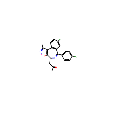 CC(=O)C[C@@H]1N=C(c2ccc(Cl)cc2)c2cc(F)ccc2-c2c(C)noc21